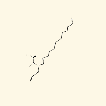 CCCCCCCCCCCCN(CCO)[C@@H](C)C(=O)O